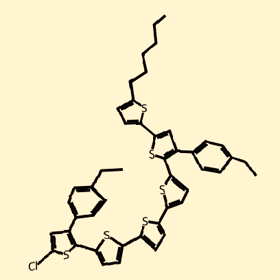 CCCCCCc1ccc(-c2cc(-c3ccc(CC)cc3)c(-c3ccc(-c4ccc(-c5ccc(-c6sc(Cl)cc6-c6ccc(CC)cc6)s5)s4)s3)s2)s1